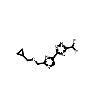 FC(F)c1nnc(-c2csc(COCC3CC3)n2)o1